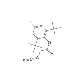 Cc1cc(C(C)(C)C)c(OC(=O)CN=C=S)c(C(C)(C)C)c1